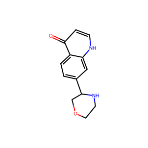 O=c1cc[nH]c2cc(C3COCCN3)ccc12